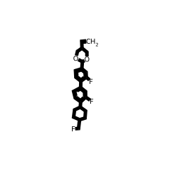 C=CC1COC(c2ccc(-c3ccc(C4CCC(CF)CC4)c(F)c3)c(F)c2)OC1